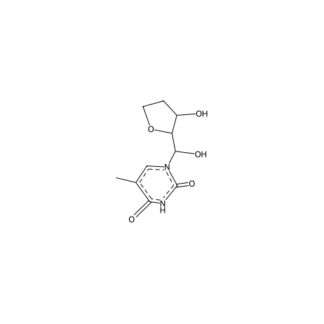 Cc1cn(C(O)C2OCCC2O)c(=O)[nH]c1=O